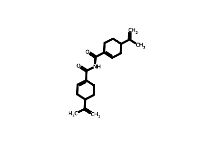 C=C(C)C1CC=C(C(=O)NC(=O)C2=CCC(C(=C)C)CC2)CC1